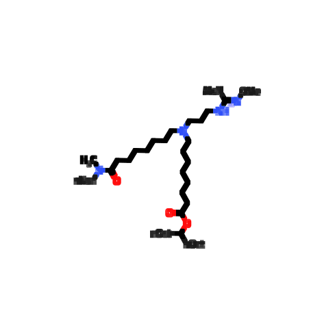 CCCCCCCCCN(C)C(=O)CCCCCCCN(CCCCCCCC(=O)OC(CCCCCCCC)CCCCCCCC)CCCN/C(=N/OC)NC